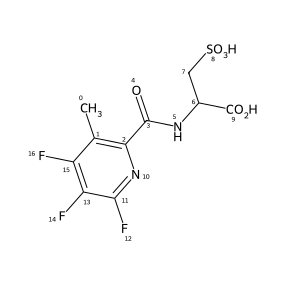 Cc1c(C(=O)NC(CS(=O)(=O)O)C(=O)O)nc(F)c(F)c1F